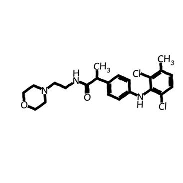 Cc1ccc(Cl)c(Nc2ccc(C(C)C(=O)NCCN3CCOCC3)cc2)c1Cl